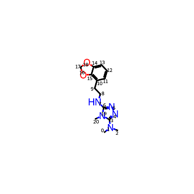 CN(C)c1nnc(NCCc2cccc3c2OCO3)n1C